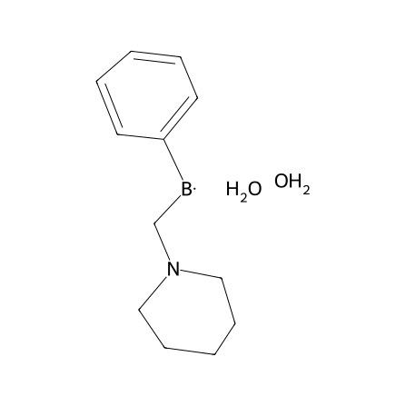 O.O.[B](CN1CCCCC1)c1ccccc1